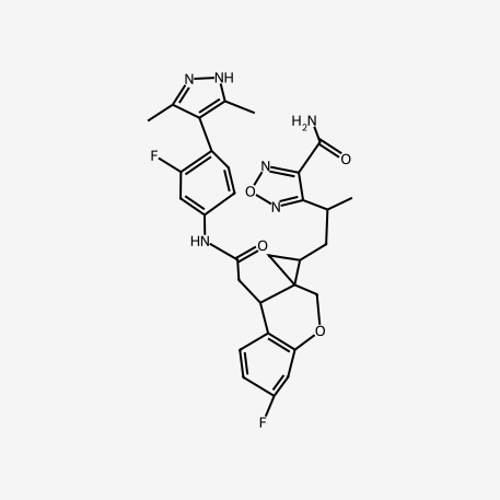 Cc1n[nH]c(C)c1-c1ccc(NC(=O)CC2c3ccc(F)cc3OCC23CC3CC(C)c2nonc2C(N)=O)cc1F